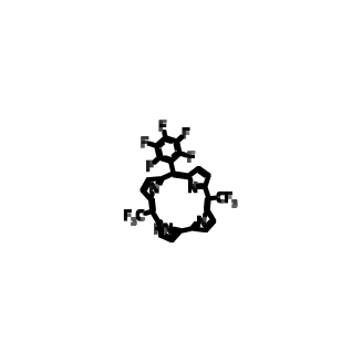 Fc1c(F)c(F)c(C2=C3C=CC(=N3)C(C(F)(F)F)=C3C=CC(=N3)c3ccc([nH]3)C(C(F)(F)F)=C3C=CC2=N3)c(F)c1F